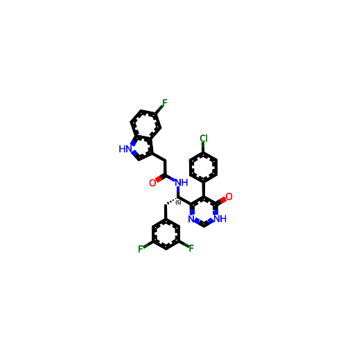 O=C(Cc1c[nH]c2ccc(F)cc12)N[C@@H](Cc1cc(F)cc(F)c1)c1nc[nH]c(=O)c1-c1ccc(Cl)cc1